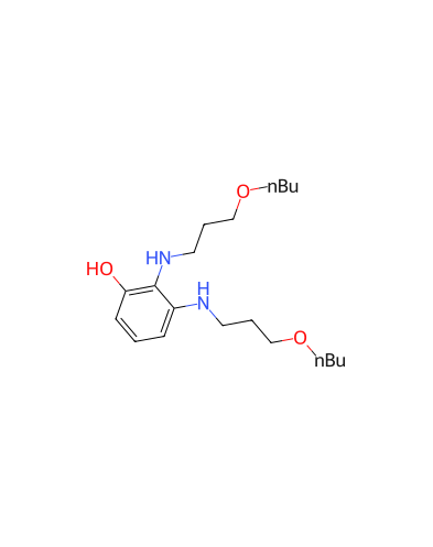 CCCCOCCCNc1cccc(O)c1NCCCOCCCC